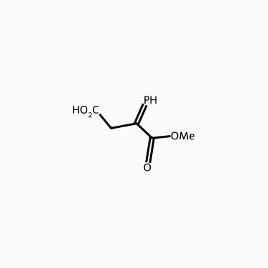 COC(=O)C(=P)CC(=O)O